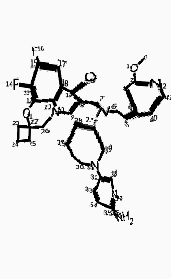 COc1cc(CN(Cc2cn3c4c(c(F)c(F)cc4c2=O)OC2(CCC2)C3)[C@H]2CCCN(c3ccc(N)nc3)C2)ccn1